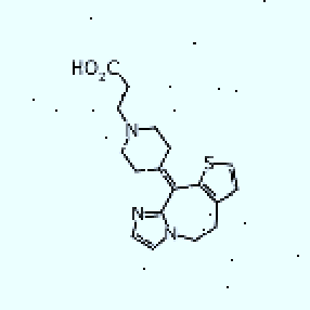 O=C(O)CCN1CCC(=C2c3sccc3CCn3ccnc32)CC1